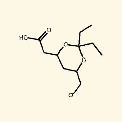 CCC1(CC)OC(CCl)CC(CC(=O)O)O1